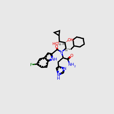 NC(=O)C(Cc1c[nH]cn1)N(C(=O)c1cc2cc(F)ccc2[nH]1)[C@@H](CC1CCCCC1)[C@@H](O)[C@@H](O)C1CC1